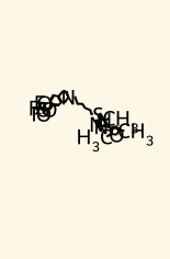 Cc1cc(-c2nnc(SCCCCCCN3CCc4ccc(OS(=O)(=O)C(F)(F)F)cc4C3)n2C)c(C)o1